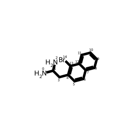 NC(N)Cc1ccc2ccccc2c1Br